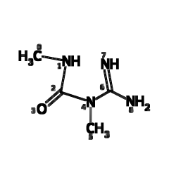 CNC(=O)N(C)C(=N)N